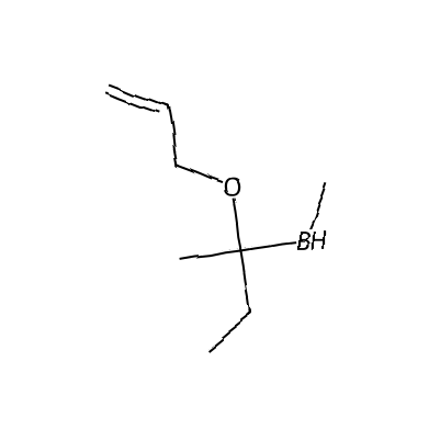 C=CCOC(C)(BC)CC